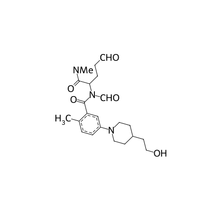 CNC(=O)C(CCC=O)N(C=O)C(=O)c1cc(N2CCC(CCO)CC2)ccc1C